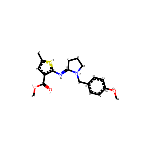 COC(=O)c1cc(C)sc1N=C1CCCN1Cc1ccc(OC)cc1